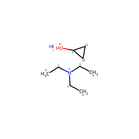 CCN(CC)CC.I.OC1CC1